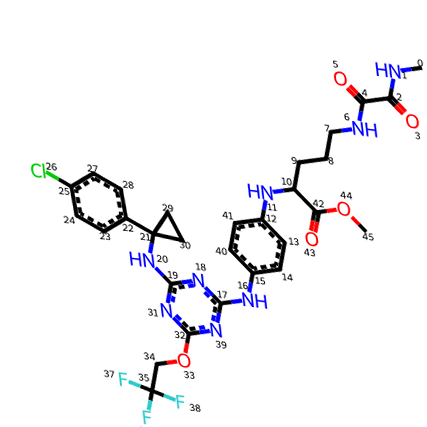 CNC(=O)C(=O)NCCCC(Nc1ccc(Nc2nc(NC3(c4ccc(Cl)cc4)CC3)nc(OCC(F)(F)F)n2)cc1)C(=O)OC